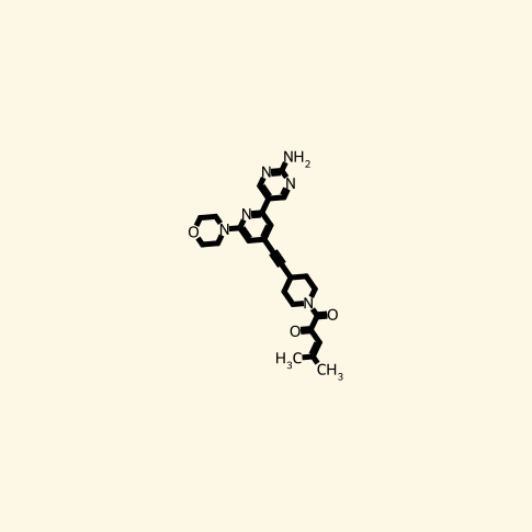 CC(C)=CC(=O)C(=O)N1CCC(C#Cc2cc(-c3cnc(N)nc3)nc(N3CCOCC3)c2)CC1